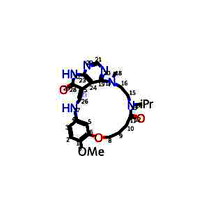 COc1ccc2cc1OCCCC(=O)N(C(C)C)CCN(C)c1ncnc3c1/C(=C/N2)C(=O)N3